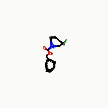 O=C(OCc1ccccc1)N1CC[C@H](F)C1